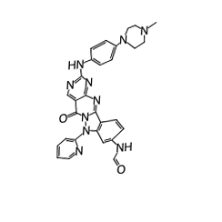 CN1CCN(c2ccc(Nc3ncc4c(=O)n5c(nc4n3)c3ccc(NC=O)cc3n5-c3ccccn3)cc2)CC1